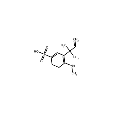 C=CC(C)(C)C1=C(NC)CCC(S(=O)(=O)O)=C1